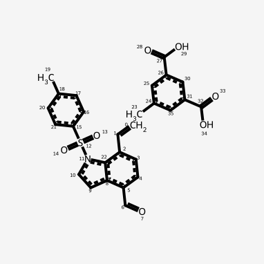 C=Cc1ccc(C=O)c2ccn(S(=O)(=O)c3ccc(C)cc3)c12.Cc1cc(C(=O)O)cc(C(=O)O)c1